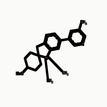 COC1CCC2(CC1)Cc1ccc(-c3cncc(C)c3)cc1C21N=C(C)C(N)=N1